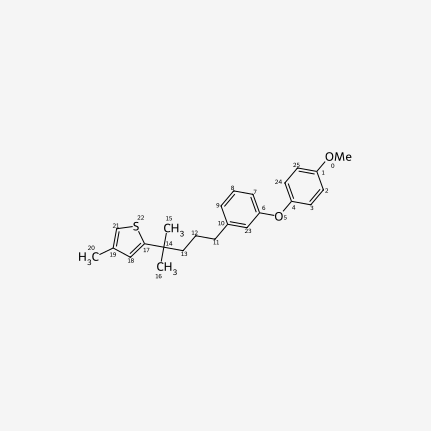 COc1ccc(Oc2cccc(CCCC(C)(C)c3cc(C)cs3)c2)cc1